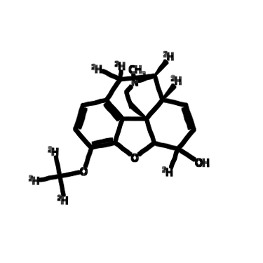 [2H]C([2H])([2H])Oc1ccc2c3c1OC1C([2H])(O)C=C[C@]4([2H])[C@@]31CCN(C)[C@]4([2H])C2([2H])[2H]